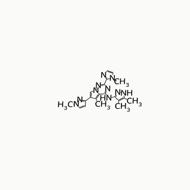 Cc1[nH]nc(Nc2nc(-c3nccn3C)nn3cc(-c4ccn(C)n4)c(C)c23)c1C